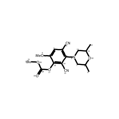 COc1cc(C#N)c(N2CC(C)OC(C)C2)c(C#N)c1OC(=O)OC(C)(C)C